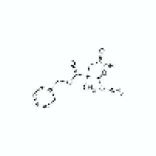 CC(CC(=O)O)(C(=O)ON)C(=O)OCc1ccccc1